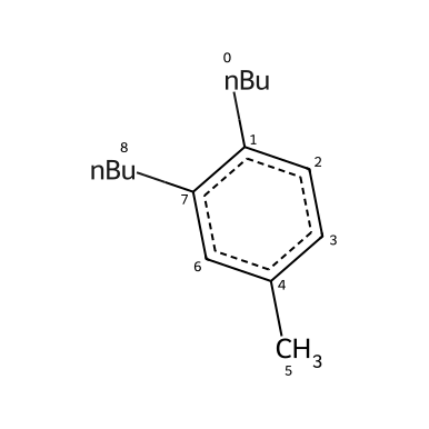 CCCCc1ccc(C)cc1CCCC